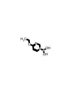 CCOC1=NCN(B(O)O)C=C1